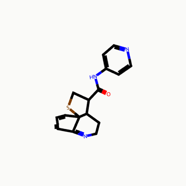 O=C(Nc1ccncc1)C1CSC23C=CC=CC2=NCCC13